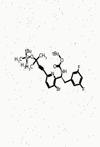 CC(C)(C)OC(=O)N[C@@H](Cc1cc(F)cc(F)c1)c1nc(C#CC(C)(C)O[Si](C)(C)C(C)(C)C)ccc1Br